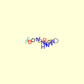 CC1CC(NC(=O)c2nn(C)c3nc(N4CCCCCCC4)ccc23)CCN1Cc1ccc(OC(F)F)cc1